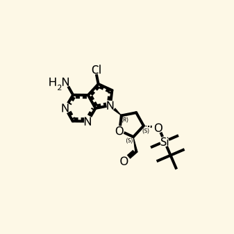 CC(C)(C)[Si](C)(C)O[C@H]1C[C@H](n2cc(Cl)c3c(N)ncnc32)O[C@@H]1C=O